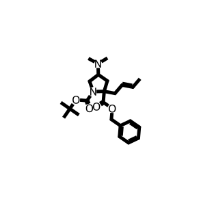 C/C=C/CC1(C(=O)OCc2ccccc2)CC(N(C)C)CN1C(=O)OC(C)(C)C